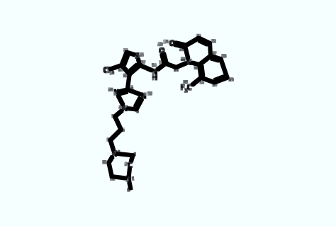 CN1CCN(CCCn2cnc(-c3c(Cl)csc3NC(=O)Cn3c(=O)ccc4cccc(C(F)(F)F)c43)n2)CC1